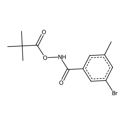 Cc1cc(Br)cc(C(=O)NOC(=O)C(C)(C)C)c1